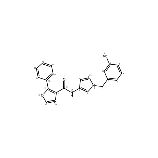 CC(=O)c1cccc(Cn2cc(NC(=O)c3ncoc3-c3ccccc3)cn2)c1